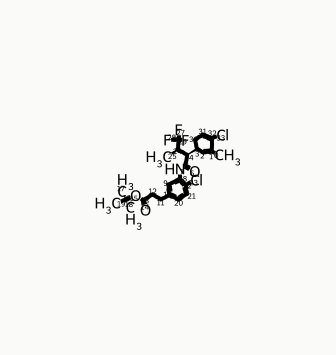 CC1=CC([C@@H](C(=O)Nc2cc(CCC(=O)OC(C)(C)C)ccc2Cl)[C@@H](C)C(F)(F)F)CC=C1Cl